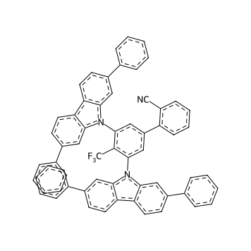 N#Cc1ccccc1-c1cc(-n2c3cc(-c4ccccc4)ccc3c3ccc(-c4ccccc4)cc32)c(C(F)(F)F)c(-n2c3cc(-c4ccccc4)ccc3c3ccc(-c4ccccc4)cc32)c1